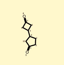 O=C1CCC(C2CC(=O)C2)C1